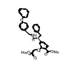 COC(=O)COc1cc(N(Cc2ccccc2)C(=O)NCc2ccc(Oc3ccccc3)cc2)ccc1C(=O)OC